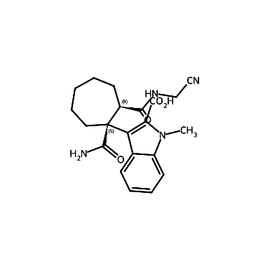 Cn1c(C(=O)O)c([C@]2(C(N)=O)CCCCC[C@H]2C(=O)NCC#N)c2ccccc21